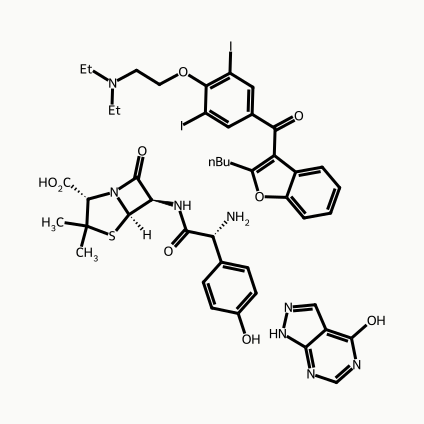 CC1(C)S[C@@H]2[C@H](NC(=O)[C@H](N)c3ccc(O)cc3)C(=O)N2[C@H]1C(=O)O.CCCCc1oc2ccccc2c1C(=O)c1cc(I)c(OCCN(CC)CC)c(I)c1.Oc1ncnc2[nH]ncc12